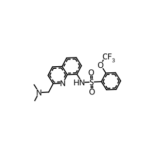 CN(C)Cc1ccc2cccc(NS(=O)(=O)c3ccccc3OC(F)(F)F)c2n1